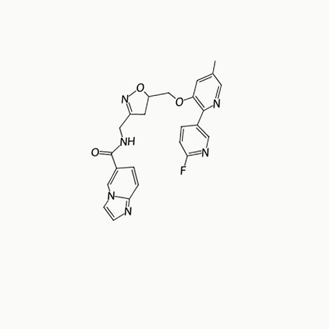 Cc1cnc(-c2ccc(F)nc2)c(OCC2CC(CNC(=O)c3ccc4nccn4c3)=NO2)c1